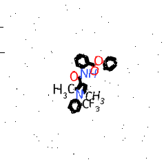 Cc1cc(C(=O)Nc2ccccc2C(=O)Oc2ccccc2)c(C)n1-c1ccccc1C(F)(F)F